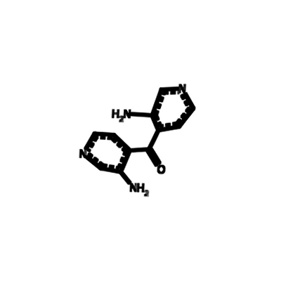 Nc1cnccc1C(=O)c1ccncc1N